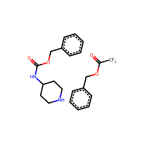 O=C(NC1CCNCC1)OCc1ccccc1.O=C(OCc1ccccc1)C(F)(F)F